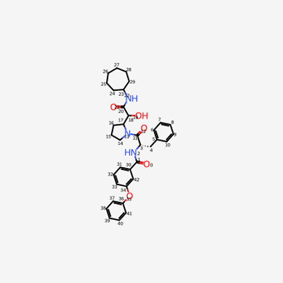 O=C(N[C@@H](Cc1ccccc1)C(=O)N1CCCC1C(O)C(=O)NC1CCCCCC1)c1cccc(Oc2ccccc2)c1